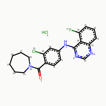 Cl.O=C(c1ccc(Nc2ncnc3cccc(F)c23)cc1Cl)N1CCCCCC1